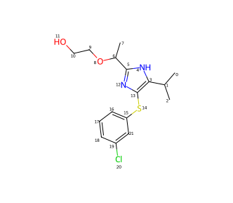 CC(C)c1[nH]c(C(C)OCCO)nc1Sc1cccc(Cl)c1